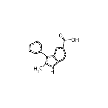 Cc1[nH]c2ccc(C(=O)O)cc2c1-c1ccccc1